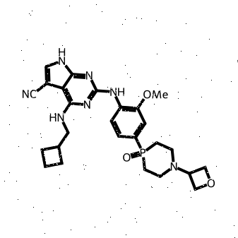 COc1cc(P2(=O)CCN(C3COC3)CC2)ccc1Nc1nc(NCC2CCC2)c2c(C#N)c[nH]c2n1